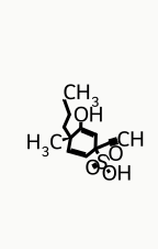 C#CC1(S(=O)(=O)O)C=C[C@](C)(CCCC)C(O)=C1